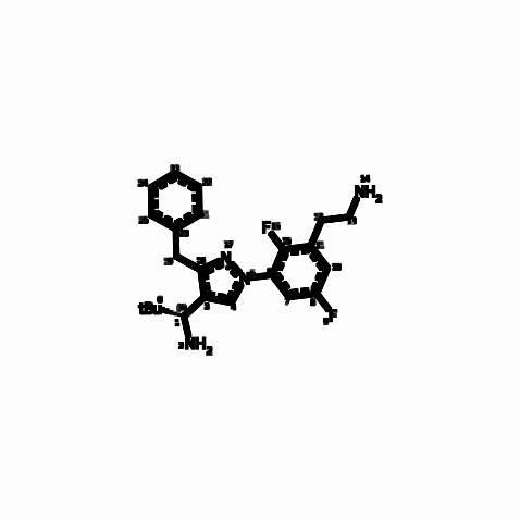 CC(C)(C)[C@@H](N)c1cn(-c2cc(F)cc(CCN)c2F)nc1Cc1ccccc1